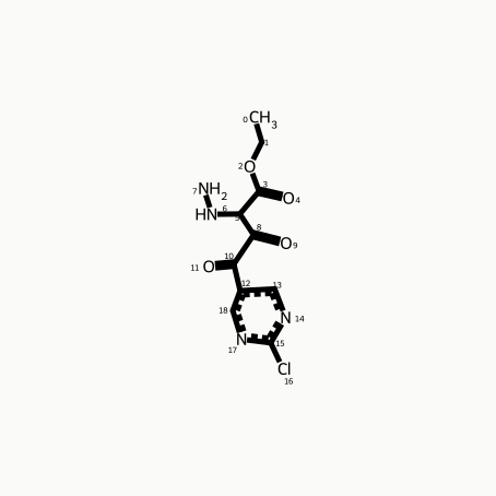 CCOC(=O)C(NN)C(=O)C(=O)c1cnc(Cl)nc1